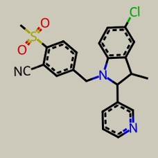 CC1c2cc(Cl)ccc2N(Cc2ccc(S(C)(=O)=O)c(C#N)c2)C1c1cccnc1